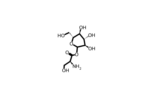 N[C@@H](CO)C(=O)OC1O[C@H](CO)[C@@H](O)[C@H](O)[C@H]1O